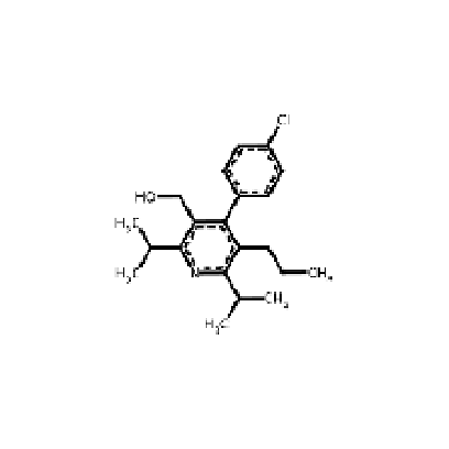 CCCc1c(C(C)C)nc(C(C)C)c(CO)c1-c1ccc(Cl)cc1